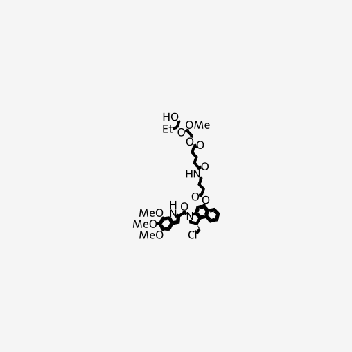 CCC(CO)OC(COC(=O)CCCC(=O)NCCCC(=O)Oc1cc2c(c3ccccc13)[C@H](CCl)CN2C(=O)c1cc2cc(OC)c(OC)c(OC)c2[nH]1)OC